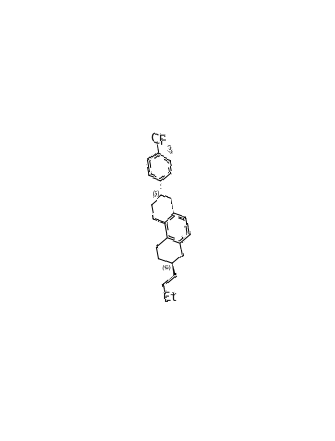 CCC=C[C@H]1CCc2c(ccc3c2CC[C@H](c2ccc(C(F)(F)F)cc2)C3)C1